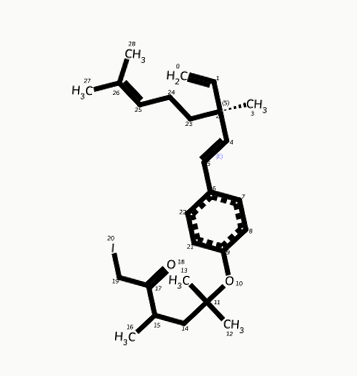 C=C[C@@](C)(/C=C/c1ccc(OC(C)(C)CC(C)C(=O)CI)cc1)CCC=C(C)C